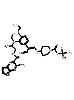 CCNc1ccc(/C(C=N)=C/NC2CCN(C(=O)OC(C)(C)C)CC2)cc1N(CC)C(C)CNC(=O)c1nc2cc[nH]c2nc1N